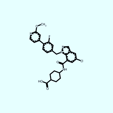 COc1cc(-c2ccc(Cn3ncc4cc(Cl)cc(C(=O)NC5CCC(C(=O)O)CC5)c43)cc2F)ccn1